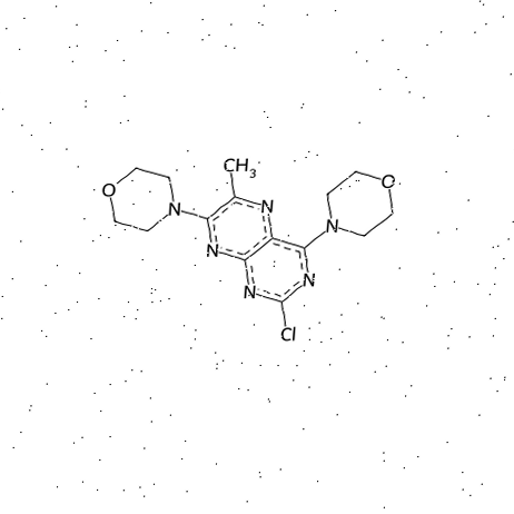 Cc1nc2c(N3CCOCC3)nc(Cl)nc2nc1N1CCOCC1